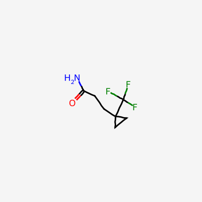 NC(=O)CCC1(C(F)(F)F)CC1